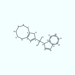 CC(C)(C1=CC2=C(CCCCCC2)C1)C1C=Cc2ccccc21